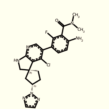 CN(C)C(=O)c1c(N)ccc(-c2cnc3c(c2Cl)[C@]2(CC[C@H](n4nccn4)C2)CN3)c1F